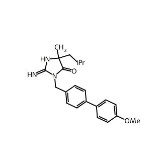 COc1ccc(-c2ccc(CN3C(=N)NC(C)(CC(C)C)C3=O)cc2)cc1